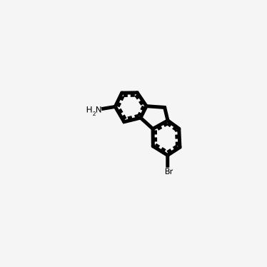 Nc1ccc2c(c1)-c1cc(Br)ccc1C2